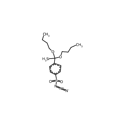 CCCCOC([SiH3])(OCCCC)c1ccc(S(=O)(=O)N=[N+]=[N-])cc1